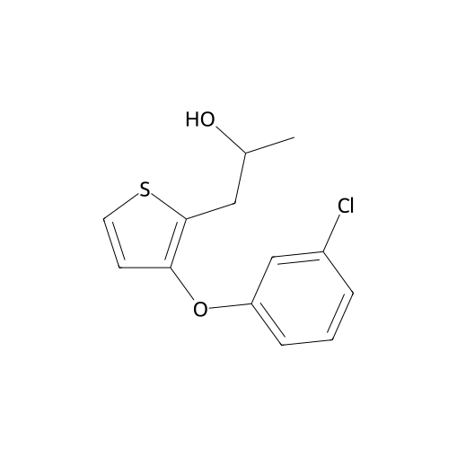 CC(O)Cc1sccc1Oc1cccc(Cl)c1